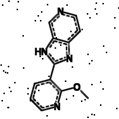 COc1ncccc1-c1nc2ccncc2[nH]1